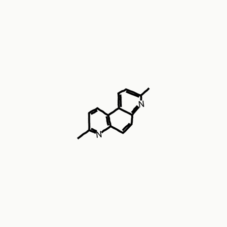 Cc1ccc2c(ccc3nc(C)ccc32)n1